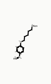 CCCCCCCCCCCCCCOc1ccc(N=N)cc1